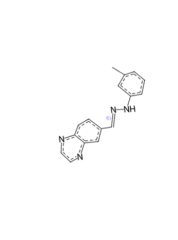 Cc1cccc(N/N=C/c2ccc3nccnc3c2)c1